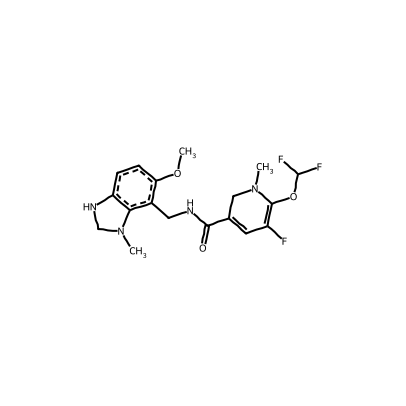 COc1ccc2c(c1CNC(=O)C1=CC(F)=C(OC(F)F)N(C)C1)N(C)CN2